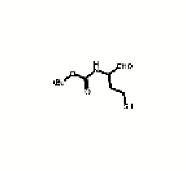 CC(C)(C)OC(=O)NC(C=O)CCS